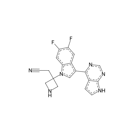 N#CCC1(n2cc(-c3ncnc4[nH]ccc34)c3cc(F)c(F)cc32)CNC1